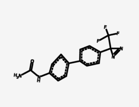 NC(=O)Nc1ccc(-c2ccc(C3(C(F)(F)F)N=N3)cc2)cc1